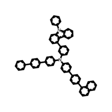 c1ccc(-c2ccc(-c3ccc(N(c4ccc(-c5ccc(-c6cccc7ccccc67)cc5)cc4)c4cccc(-c5cccc6c5c5ccccc5n6-c5ccccc5)c4)cc3)cc2)cc1